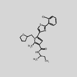 CCC(C)NC(=O)c1cc(-c2csc(-c3ccccc3Cl)n2)n(CC2CCCO2)c1C